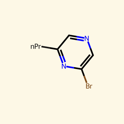 CCCc1cncc(Br)n1